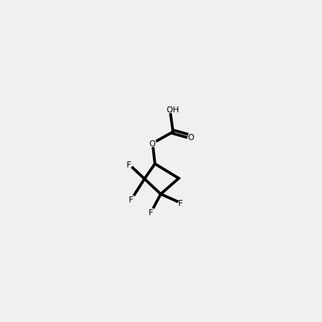 O=C(O)OC1CC(F)(F)C1(F)F